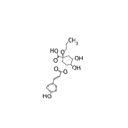 CCCO[C@@]1(C(=O)O)C[C@H](O)[C@@H](O)[C@H](OC(=O)C=Cc2ccc(O)cc2)C1